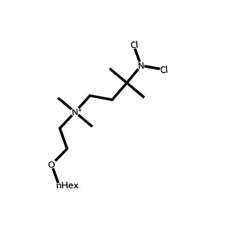 CCCCCCOCC[N+](C)(C)CCC(C)(C)N(Cl)Cl